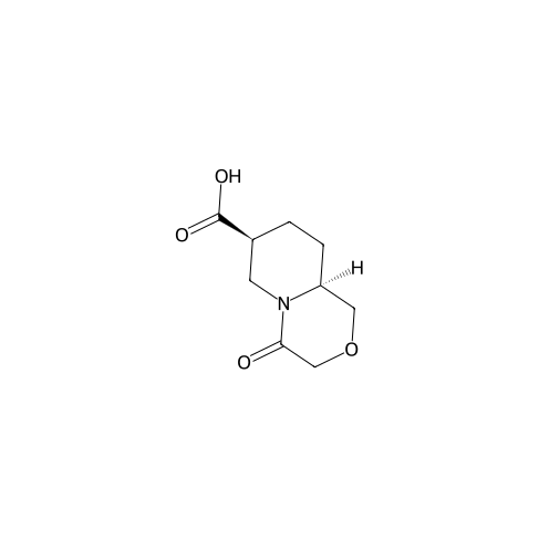 O=C(O)[C@H]1CC[C@H]2COCC(=O)N2C1